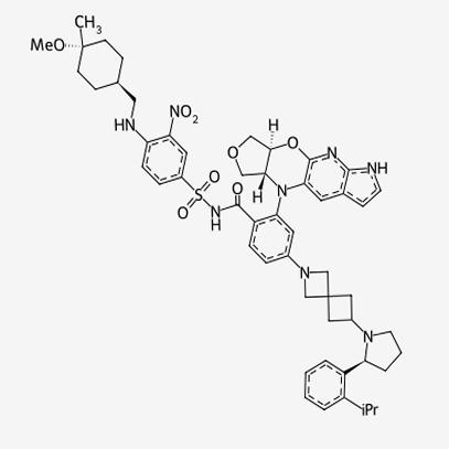 CO[C@]1(C)CC[C@@H](CNc2ccc(S(=O)(=O)NC(=O)c3ccc(N4CC5(CC(N6CCC[C@H]6c6ccccc6C(C)C)C5)C4)cc3N3c4cc5cc[nH]c5nc4O[C@@H]4COC[C@H]43)cc2[N+](=O)[O-])CC1